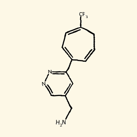 NCc1cnnc(C2=CC=C(C(F)(F)F)CC=C2)c1